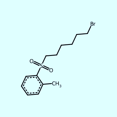 Cc1ccccc1S(=O)(=O)CCCCCCBr